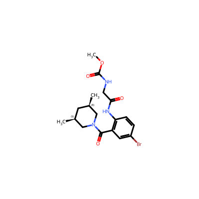 COC(=O)NCC(=O)Nc1ccc(Br)cc1C(=O)N1C[C@H](C)C[C@H](C)C1